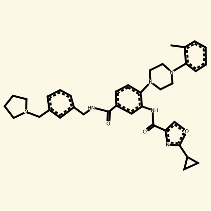 Cc1ccccc1N1CCN(c2ccc(C(=O)NCc3cccc(CN4CCCC4)c3)cc2NC(=O)c2coc(C3CC3)n2)CC1